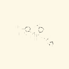 Nc1c(CO)cccc1NC(=S)NC(CCNC(=O)c1ccon1)c1cccc(C(F)(F)F)c1